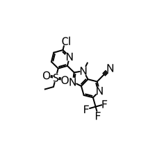 CCS(=O)(=O)c1ccc(Cl)nc1-c1nc2cc(C(F)(F)F)nc(C#N)c2n1C